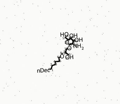 CCCCCCCCCCCCCCCCOC[C@@H](CO)CO[C@@H]1OC(CO)[C@H](O)[C@H](O)C1N